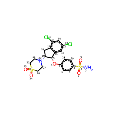 NS(=O)(=O)c1ccc(O[C@H]2c3cc(Cl)cc(Cl)c3C[C@H]2N2CCS(=O)(=O)CC2)cc1